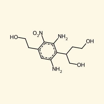 Nc1cc(CCO)c([N+](=O)[O-])c(N)c1C(CO)CCO